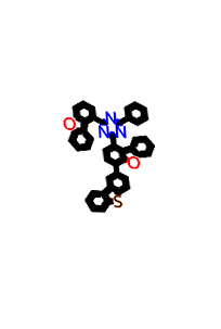 c1ccc(-c2nc(-c3cccc4oc5ccccc5c34)nc(-c3ccc(-c4ccc5sc6ccccc6c5c4)c4oc5ccccc5c34)n2)cc1